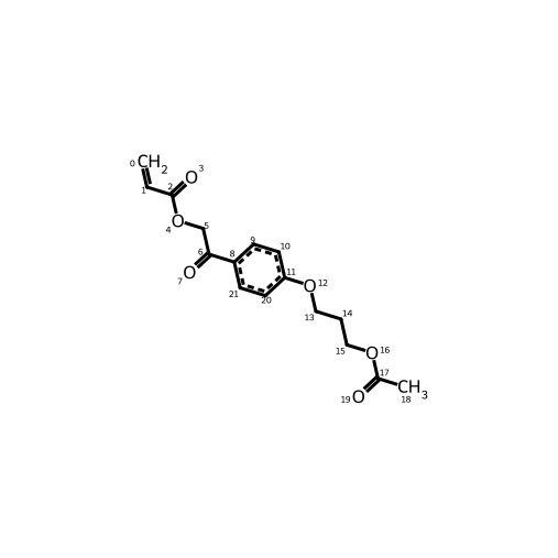 C=CC(=O)OCC(=O)c1ccc(OCCCOC(C)=O)cc1